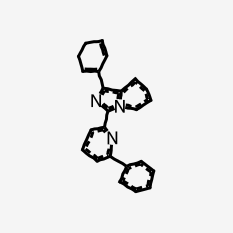 C1=CC(c2nc(-c3cccc(-c4ccccc4)n3)n3ccccc23)=CCC1